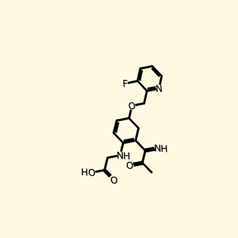 CC(=O)C(=N)C1=C(NCC(=O)O)C=CC(OCc2ncccc2F)C1